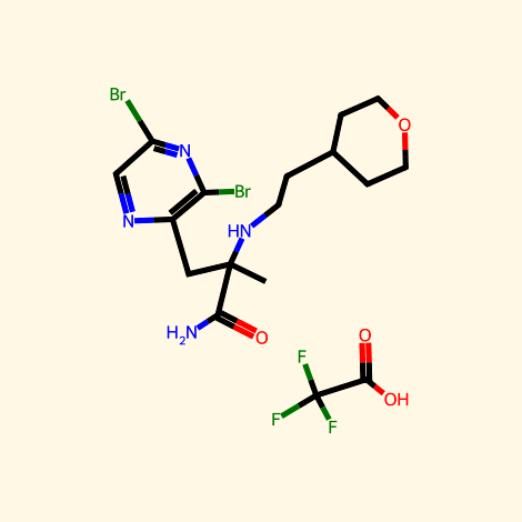 CC(Cc1ncc(Br)nc1Br)(NCCC1CCOCC1)C(N)=O.O=C(O)C(F)(F)F